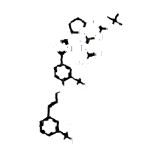 CC(C)(C)OC(=O)N/C(=N\C(=O)O)N1CCC[C@H]1c1nc(-c2ccc(OC/C=C/c3cccc(C(F)(F)F)c3)c(C(F)(F)F)c2)no1